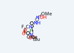 COCC(O)CN1CCC(Nc2cccc3c2cc(C#CCN(C(=O)OC(C)(C)C)c2c(F)cc(S(C)(=O)=O)cc2OC)n3CC(F)(F)F)CC1